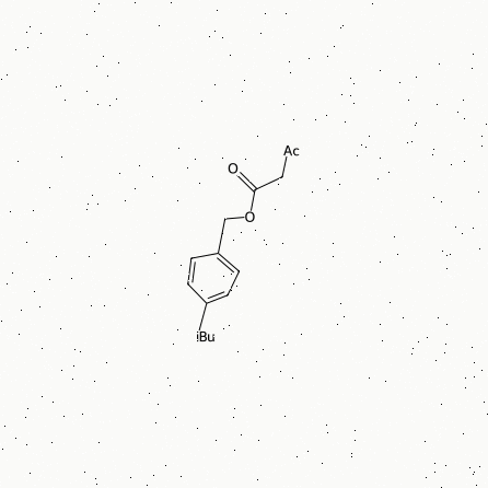 CCC(C)c1ccc(COC(=O)CC(C)=O)cc1